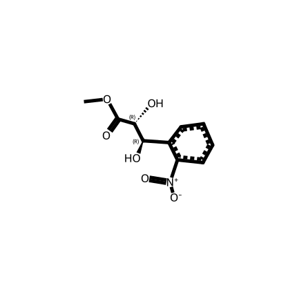 COC(=O)[C@H](O)[C@H](O)c1ccccc1[N+](=O)[O-]